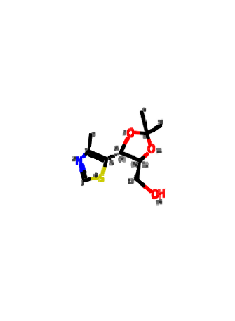 Cc1ncsc1[C@@H]1OC(C)(C)O[C@H]1CO